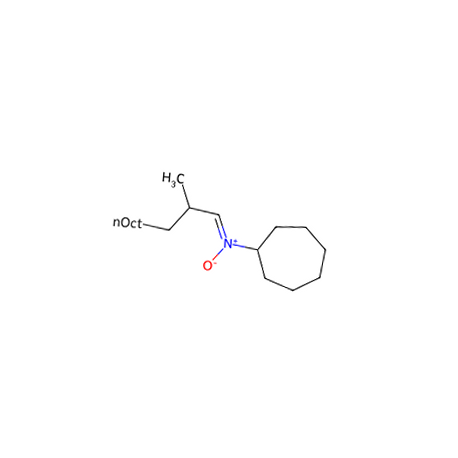 CCCCCCCCCC(C)C=[N+]([O-])C1CCCCCC1